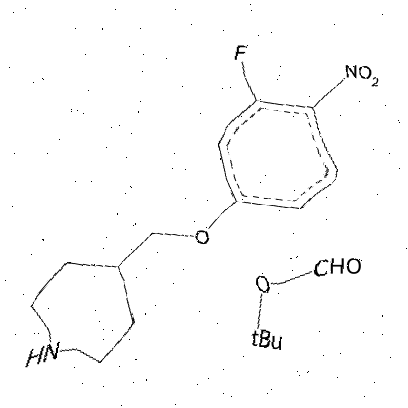 CC(C)(C)OC=O.O=[N+]([O-])c1ccc(OCC2CCNCC2)cc1F